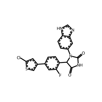 O=C1NC(=O)N(c2ccc3[nH]cnc3c2)C1c1ccc(-c2csc(Cl)c2)cc1F